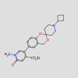 CCOC(=O)c1cc(=O)n(C)cc1-c1ccc2c(c1)COC1(CCN(C3CCC3)CC1)O2